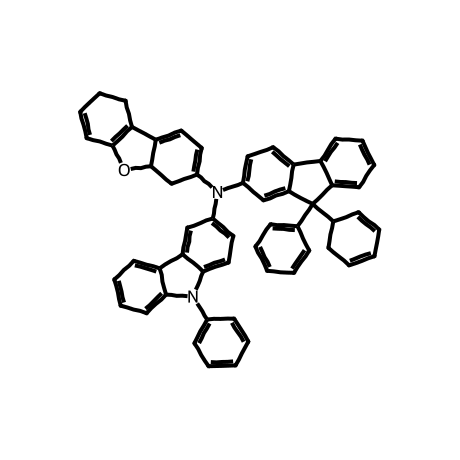 C1=CCC(C2(c3ccccc3)c3ccccc3-c3ccc(N(C4=CC=C5C6=C(C=CCC6)OC5C4)c4ccc5c(c4)c4ccccc4n5-c4ccccc4)cc32)C=C1